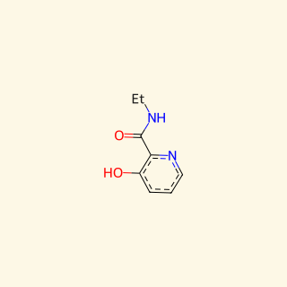 CCNC(=O)c1ncccc1O